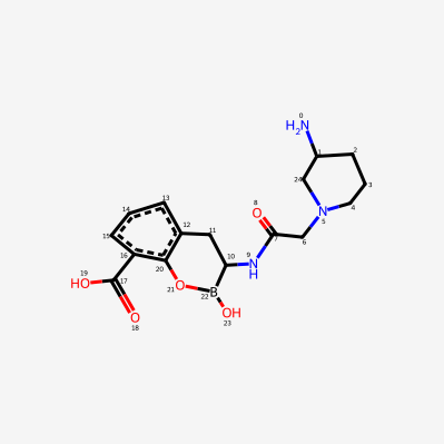 NC1CCCN(CC(=O)NC2Cc3cccc(C(=O)O)c3OB2O)C1